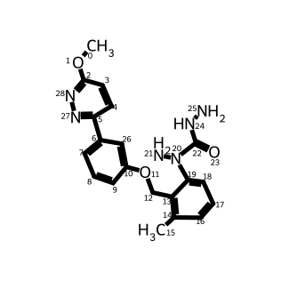 COc1ccc(-c2cccc(OCc3c(C)cccc3N(N)C(=O)NN)c2)nn1